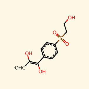 O=[C]C(O)=C(O)c1ccc(S(=O)(=O)CCO)cc1